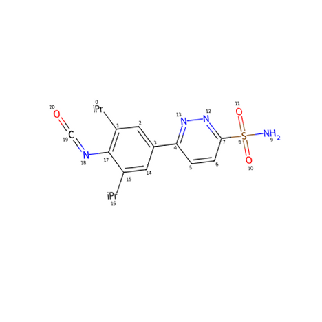 CC(C)c1cc(-c2ccc(S(N)(=O)=O)nn2)cc(C(C)C)c1N=C=O